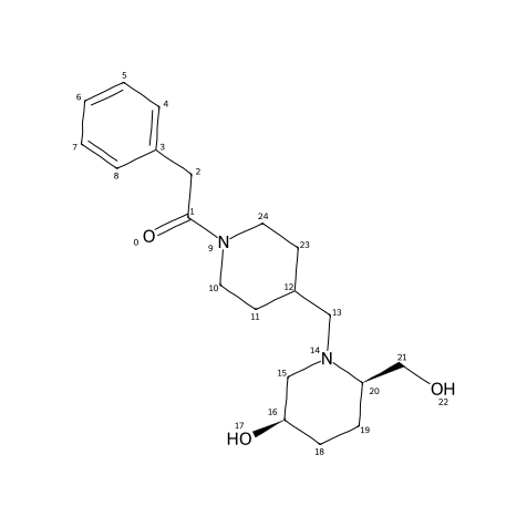 O=C(Cc1ccccc1)N1CCC(CN2C[C@H](O)CC[C@@H]2CO)CC1